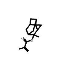 C=C(C)C(=O)OC1(C)C2CC3CC(C2)C32CC12